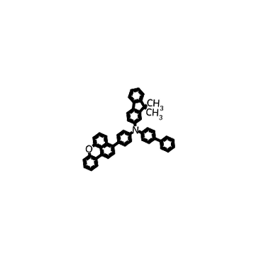 CC1(C)c2ccccc2-c2ccc(N(c3ccc(-c4ccccc4)cc3)c3ccc(-c4ccc5c6c(cccc46)Oc4ccccc4-5)cc3)cc21